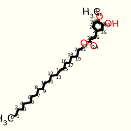 CCCCCCCCCCCCCCCCCCCCCCOC(=O)C=Cc1ccc(OC)c(O)c1